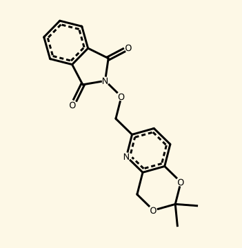 CC1(C)OCc2nc(CON3C(=O)c4ccccc4C3=O)ccc2O1